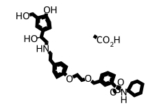 CC(=O)O.O=S(=O)(NC1CCCCC1)c1cccc(COCCOc2ccc(CCNC[C@H](O)c3ccc(O)c(CO)c3)cc2)c1